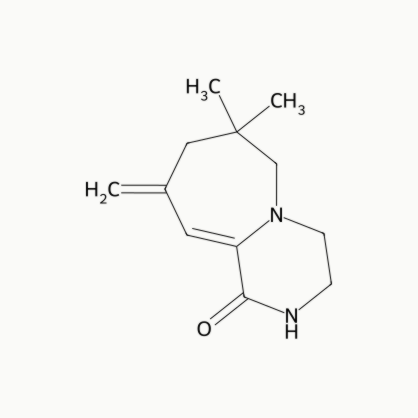 C=C1C=C2C(=O)NCCN2CC(C)(C)C1